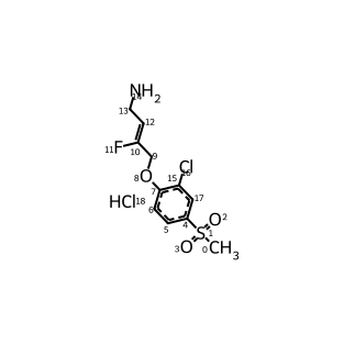 CS(=O)(=O)c1ccc(OC/C(F)=C/CN)c(Cl)c1.Cl